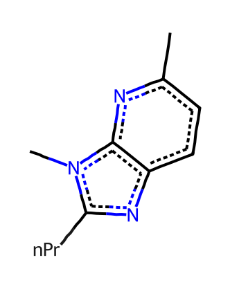 CCCc1nc2ccc(C)nc2n1C